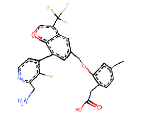 Cc1ccc(CC(=O)O)c(OCc2cc(-c3ccnc(CN)c3F)c3occ(C(F)(F)F)c3c2)c1